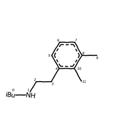 CCC(C)NCCc1cccc(C)c1C